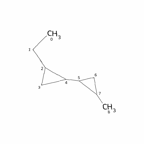 CCC1CC1C1CC1C